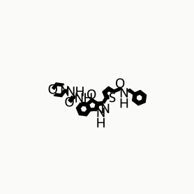 O=C(Nc1cccc2c1C(=O)c1c(-c3ccc(C(=O)NCc4ccccc4)s3)n[nH]c1-2)NN1CCOCC1